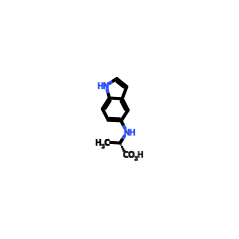 C[C@H](Nc1ccc2[nH]ccc2c1)C(=O)O